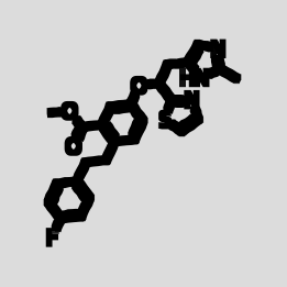 COC(=O)c1cc(OC(Cc2cnc(C)[nH]2)c2nccs2)ccc1CCc1ccc(F)cc1